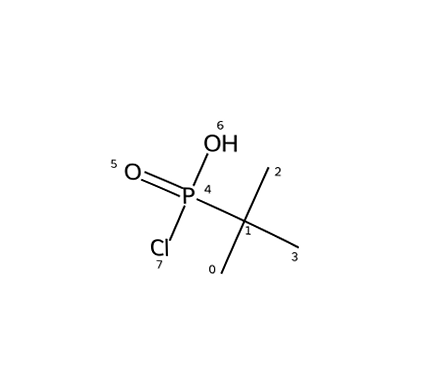 CC(C)(C)P(=O)(O)Cl